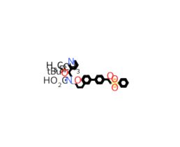 CC(C)(C)[Si](C)(C)OC(CN(C[C@H]1CCc2cc(-c3ccc(C(=O)CS(=O)(=O)c4ccccc4)cc3)ccc2O1)C(=O)O)c1cccnc1